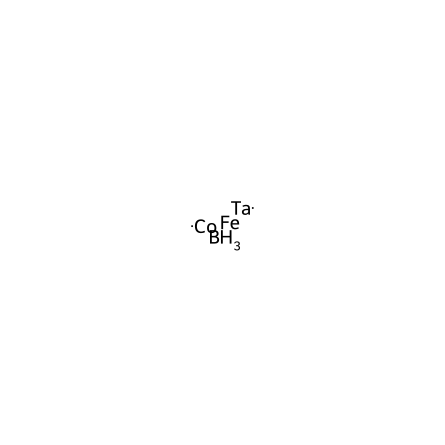 B.[Co].[Fe].[Ta]